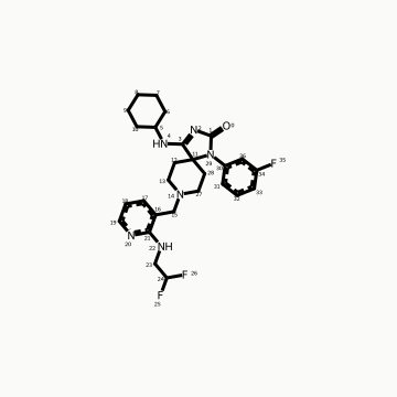 O=C1N=C(NC2CCCCC2)C2(CCN(Cc3cccnc3NCC(F)F)CC2)N1c1cccc(F)c1